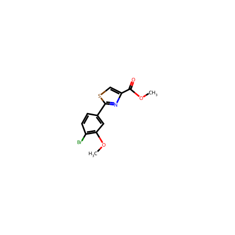 COC(=O)c1csc(-c2ccc(Br)c(OC)c2)n1